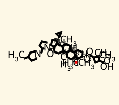 CCC1CCN(CC2CCCN2C(=O)[C@]23CC[C@@H](C4(C)CC4)[C@@H]2C2CC[C@@H]4C5(C)CCC(OC(=O)C6CC(C(=O)O)C6(C)C)C(C)(C)[C@@H]5CC[C@@]4(C)[C@]2(C)CC3)CC1